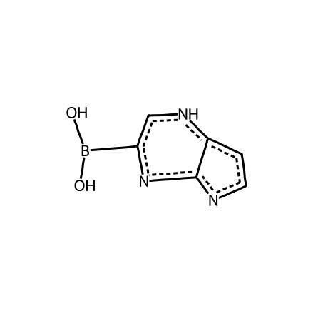 OB(O)c1c[nH]c2ccnc-2n1